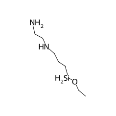 CCO[SiH2]CCCNCCN